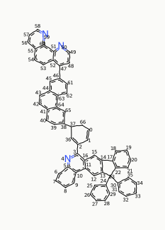 C1=CC(c2nc3ccccc3c3cc4c(cc23)-c2ccccc2C4(c2ccccc2)c2ccccc2)=CC(c2ccc3ccc4cc(-c5ccnc6c5ccc5cccnc56)ccc4c3c2)C1